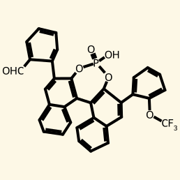 O=Cc1ccccc1-c1cc2ccccc2c2c1OP(=O)(O)Oc1c(-c3ccccc3OC(F)(F)F)cc3ccccc3c1-2